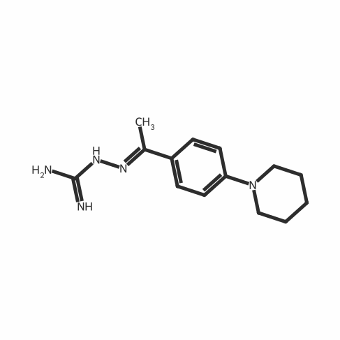 CC(=NNC(=N)N)c1ccc(N2CCCCC2)cc1